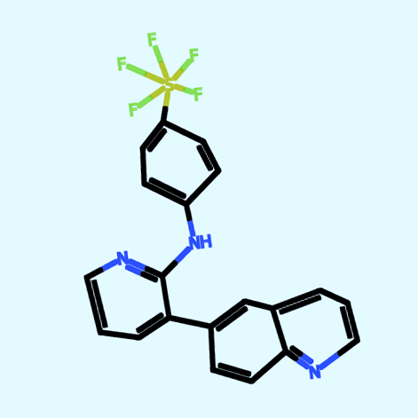 FS(F)(F)(F)(F)c1ccc(Nc2ncccc2-c2ccc3ncccc3c2)cc1